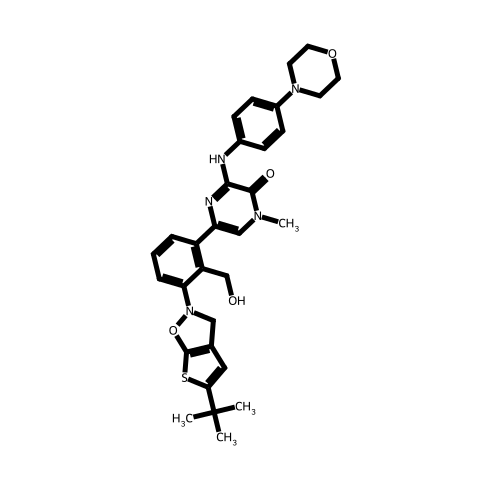 Cn1cc(-c2cccc(N3Cc4cc(C(C)(C)C)sc4O3)c2CO)nc(Nc2ccc(N3CCOCC3)cc2)c1=O